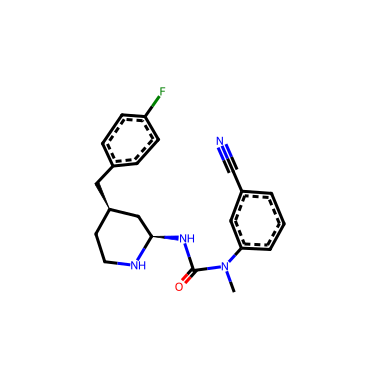 CN(C(=O)N[C@@H]1C[C@H](Cc2ccc(F)cc2)CCN1)c1cccc(C#N)c1